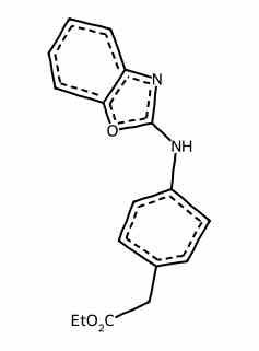 CCOC(=O)Cc1ccc(Nc2nc3ccccc3o2)cc1